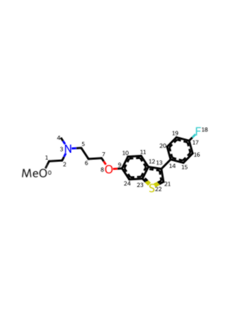 COCCN(C)CCCOc1ccc2c(-c3ccc(F)cc3)csc2c1